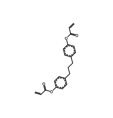 C=CC(=O)Oc1ccc(CCCc2ccc(OC(=O)C=C)cc2)cc1